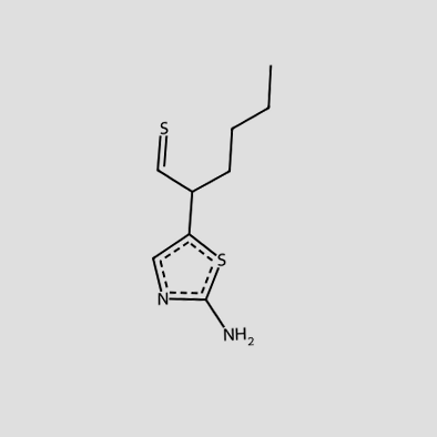 CCCCC(C=S)c1cnc(N)s1